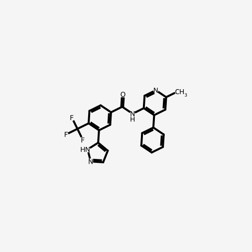 Cc1cc(-c2ccccc2)c(NC(=O)c2ccc(C(F)(F)F)c(-c3ccn[nH]3)c2)cn1